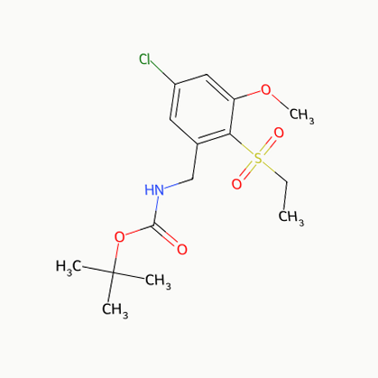 CCS(=O)(=O)c1c(CNC(=O)OC(C)(C)C)cc(Cl)cc1OC